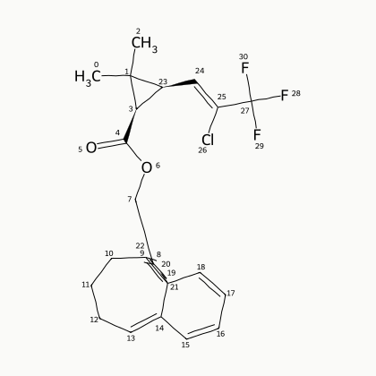 CC1(C)[C@H](C(=O)OCC2=C3CCCC=C4C=CC=CC43CC=C2)[C@@H]1C=C(Cl)C(F)(F)F